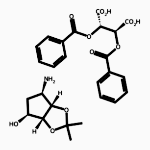 CC1(C)O[C@@H]2[C@H](O1)[C@@H](O)C[C@H]2N.O=C(O[C@H](C(=O)O)[C@H](OC(=O)c1ccccc1)C(=O)O)c1ccccc1